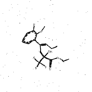 CCC=C(CC(O)(C(=O)OCC)C(F)(F)F)c1cccc(F)c1OC